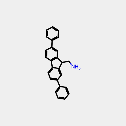 NCC1c2cc(-c3ccccc3)ccc2-c2ccc(-c3ccccc3)cc21